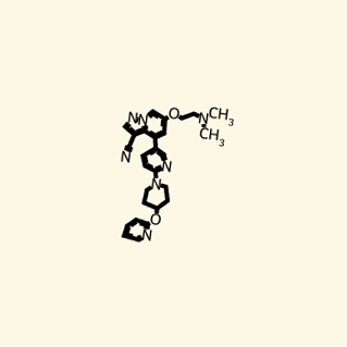 CN(C)CCOc1cc(-c2ccc(N3CCC(Oc4ccccn4)CC3)nc2)c2c(C#N)cnn2c1